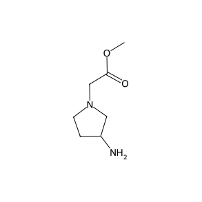 COC(=O)CN1CCC(N)C1